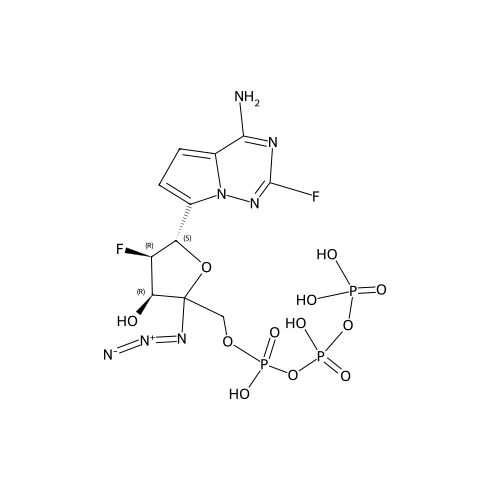 [N-]=[N+]=NC1(COP(=O)(O)OP(=O)(O)OP(=O)(O)O)O[C@@H](c2ccc3c(N)nc(F)nn23)[C@H](F)[C@@H]1O